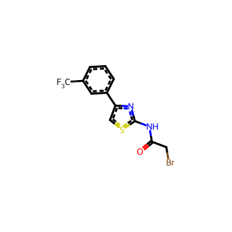 O=C(CBr)Nc1nc(-c2cccc(C(F)(F)F)c2)cs1